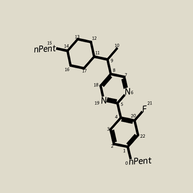 CCCCCc1ccc(-c2ncc(C(C)C3CCC(CCCCC)CC3)cn2)c(F)c1